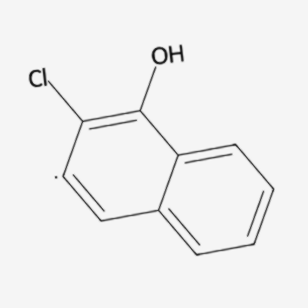 Oc1c(Cl)[c]cc2ccccc12